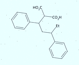 CCC(CC(c1ccccc1)C(C(=O)O)C(=O)O)c1ccccc1